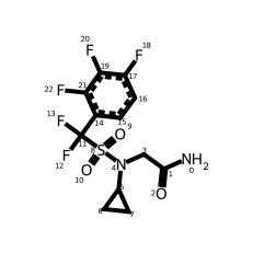 NC(=O)CN(C1CC1)S(=O)(=O)C(F)(F)c1ccc(F)c(F)c1F